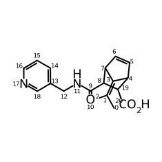 CC(C)=C1C2C=CC1C(C(=O)NCc1cccnc1)C2C(=O)O